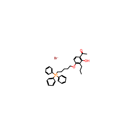 CCCc1c(OCCCCC[P+](c2ccccc2)(c2ccccc2)c2ccccc2)ccc(C(C)=O)c1O.[Br-]